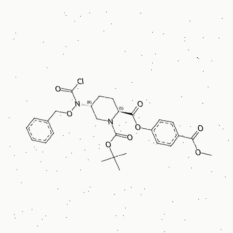 COC(=O)c1ccc(OC(=O)[C@@H]2CC[C@@H](N(OCc3ccccc3)C(=O)Cl)CN2C(=O)OC(C)(C)C)cc1